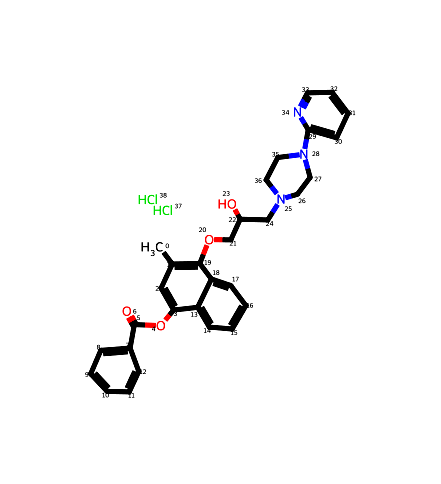 Cc1cc(OC(=O)c2ccccc2)c2ccccc2c1OCC(O)CN1CCN(c2ccccn2)CC1.Cl.Cl